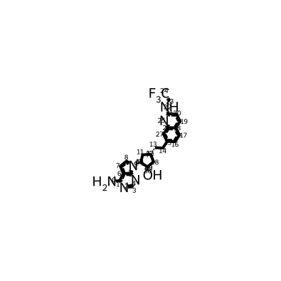 Nc1ncnc2c1ccn2[C@@H]1C[C@H](CCc2ccc3ccc(NCC(F)(F)F)nc3c2)C[C@H]1O